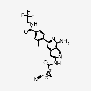 Cc1cc(C(=O)NCC(F)(F)F)ccc1-c1cc2cc(NC(=O)[C@H]3C[C@@H]3C#N)ncc2c(N)n1